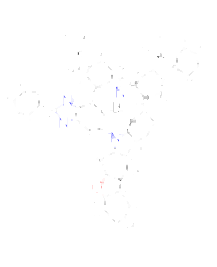 Cn1c(-c2ccccc2)nc2cc3c(cc21)-n1c2cc4oc5ccccc5c4cc2c2ccc4c(c21)B3N(c1ccc(C(C)(C)C)cc1)c1cc2c(cc1-4)-c1ccccc1C2(C)C